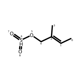 C/C=C(\C)CO[SH](=O)=O